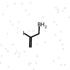 BCC(=C)I